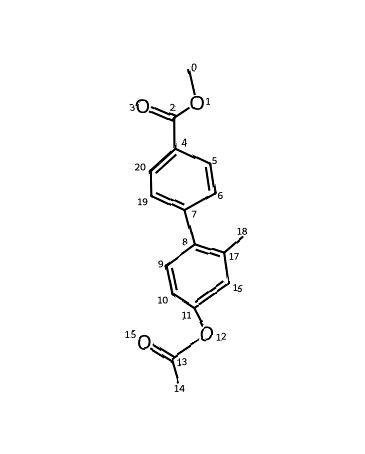 COC(=O)c1ccc(-c2ccc(OC(C)=O)cc2C)cc1